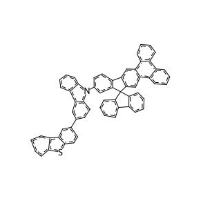 c1ccc2c(c1)-c1ccccc1C21c2cc(-n3c4ccccc4c4cc(-c5ccc6sc7ccccc7c6c5)ccc43)ccc2-c2cc3c4ccccc4c4ccccc4c3cc21